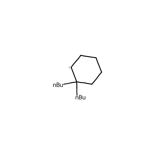 CCCCC1(CCCC)[C]CCCC1